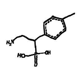 Cc1ccc(C(CN)P(=O)(O)O)cc1